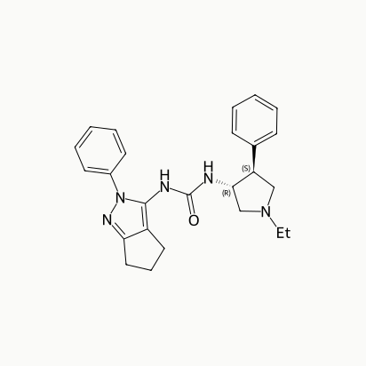 CCN1C[C@H](NC(=O)Nc2c3c(nn2-c2ccccc2)CCC3)[C@@H](c2ccccc2)C1